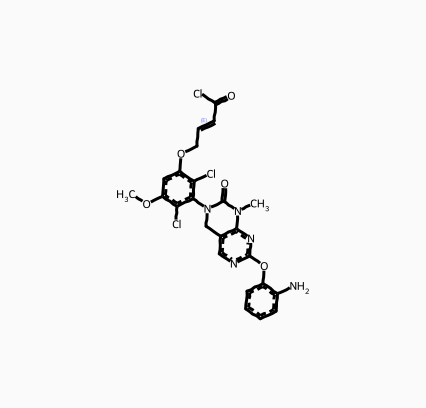 COc1cc(OC/C=C/C(=O)Cl)c(Cl)c(N2Cc3cnc(Oc4ccccc4N)nc3N(C)C2=O)c1Cl